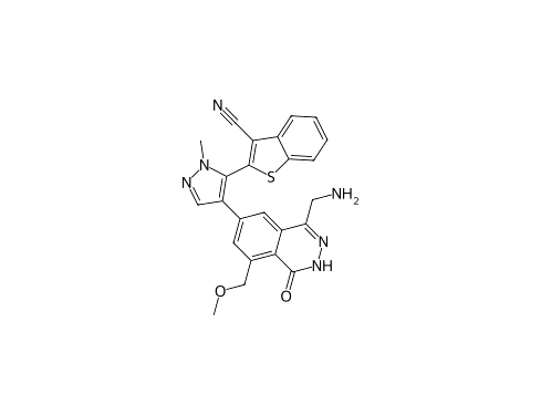 COCc1cc(-c2cnn(C)c2-c2sc3ccccc3c2C#N)cc2c(CN)n[nH]c(=O)c12